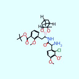 COc1ccc(C(N)C(=O)NC(Cc2cccc(C(=O)OC(C)(C)C)c2OC)B2O[C@@H]3C[C@@H]4C[C@@H](C4(C)C)[C@]3(C)O2)c(Cl)c1OC